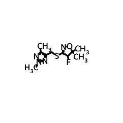 Cc1nn(C)nc1CSC1=NOC(C)(C)C1F